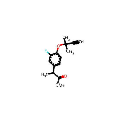 C#CC(C)(C)Oc1ccc(C(C)C(=O)OC)cc1F